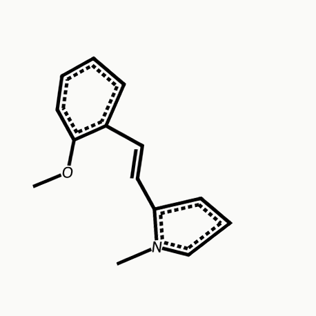 COc1ccccc1/C=C/c1cccn1C